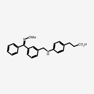 CON=C(c1ccccc1)c1cccc(CNc2ccc(CCC(=O)O)cc2)c1